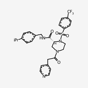 CC(C)c1ccc(CNC(=O)[C@H]2CN(C(=O)Cc3ccncc3)CCN2S(=O)(=O)c2ccc(C(F)(F)F)cc2)cc1